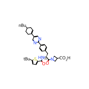 CCCCC1CC=C(c2cnc(-c3ccc(C[C@H](NC(=O)c4ccc(C(C)(C)C)s4)C(=O)N4CC(C(=O)O)C4)cc3)nc2)CC1